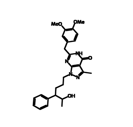 COc1ccc(Cc2nc3c(c(C)nn3CCCC(c3ccccc3)C(C)O)c(=O)[nH]2)cc1OC